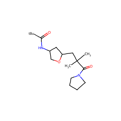 CC(C)(C)C(=O)NC1COC(CC(C)(C)C(=O)N2CCCC2)C1